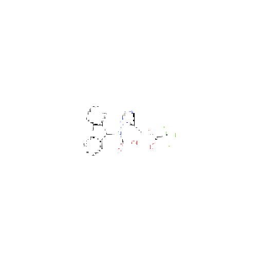 O=C(O)N(C1c2ccccc2-c2ccccc21)n1cncc1COC(=O)C(F)(F)F